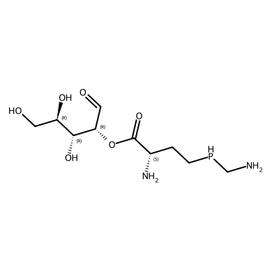 NCPCC[C@H](N)C(=O)O[C@@H](C=O)[C@H](O)[C@H](O)CO